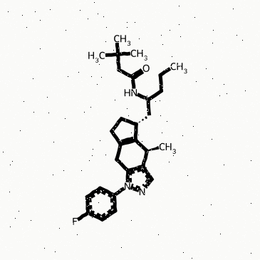 CCCC(C[C@H]1CCC2=C1[C@@H](C)c1cnn(-c3ccc(F)cc3)c1C2)NC(=O)CC(C)(C)C